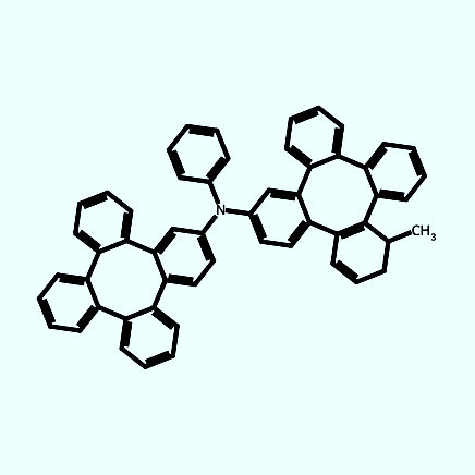 CC1CC=CC2=C1c1ccccc1-c1ccccc1-c1cc(N(c3ccccc3)c3ccc4c(c3)-c3ccccc3-c3ccccc3-c3ccccc3-4)ccc12